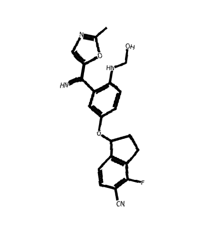 Cc1ncc(C(=N)c2cc(OC3CCc4c3ccc(C#N)c4F)ccc2NCO)o1